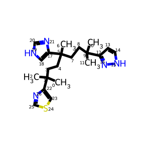 CC(C)(CCC(C)(CCC(C)(C)c1cc[nH]n1)c1c[nH]cn1)c1cscn1